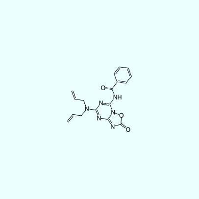 C=CCN(CC=C)c1nc(NC(=O)c2ccccc2)n2oc(=O)nc2n1